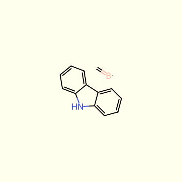 [B]=C.c1ccc2c(c1)[nH]c1ccccc12